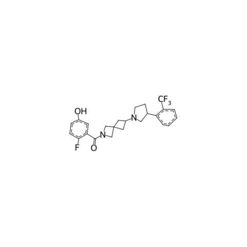 O=C(c1cc(O)ccc1F)N1CC2(CC(N3CCC(c4ccccc4C(F)(F)F)C3)C2)C1